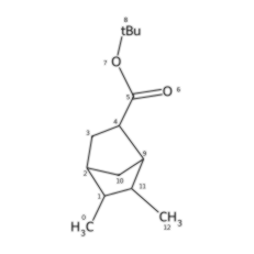 CC1C2CC(C(=O)OC(C)(C)C)C(C2)C1C